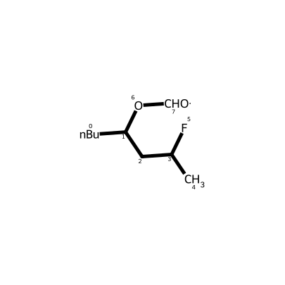 CCCCC(CC(C)F)O[C]=O